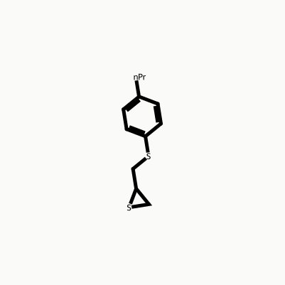 CCCc1ccc(SCC2CS2)cc1